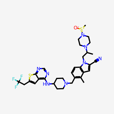 Cc1c(CN2CCC(Nc3ncnc4sc(CC(F)(F)F)cc34)CC2)ccc2c1cc(C#N)n2CC(C)N1CCN([S+](C)[O-])CC1